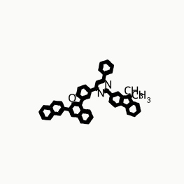 CC1(C)C2=C(CCC=C2)c2ccc(-c3nc(-c4ccccc4)cc(-c4ccc5oc6c(-c7ccc8ccccc8c7)cc7ccccc7c6c5c4)n3)cc21